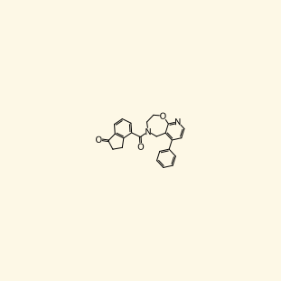 O=C1CCc2c1cccc2C(=O)N1CCOc2nccc(-c3ccccc3)c2C1